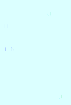 Nc1nccc(Cl)c1C#CCCCCl